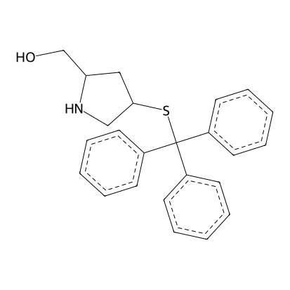 OCC1CC(SC(c2ccccc2)(c2ccccc2)c2ccccc2)CN1